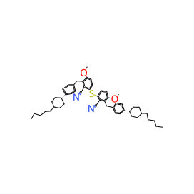 CCCCC[C@H]1CC[C@H](c2ccc(Cc3c(OC)ccc(Sc4ccc(OC)c(Cc5ccc([C@H]6CC[C@H](CCCCC)CC6)cc5)c4C#N)c3C#N)cc2)CC1